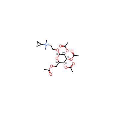 CC(=O)OC[C@H]1O[C@@H](OCC[N+](C)(C)C2CC2)[C@H](OC(C)=O)[C@@H](OC(C)=O)[C@@H]1OC(C)=O